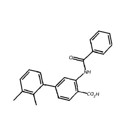 Cc1cccc(-c2ccc(C(=O)O)c(NC(=O)c3ccccc3)c2)c1C